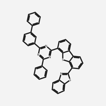 c1ccc(-c2cccc(-c3nc(-c4ccccc4)nc(-c4cccc5c4sc4c(-c6nc7ccccc7s6)cccc45)n3)c2)cc1